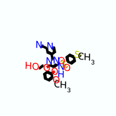 COc1ccccc1Oc1c(NS(=O)(=O)c2ccc(SC)cc2)nc(-c2ccnc(C#N)c2)nc1OCCO